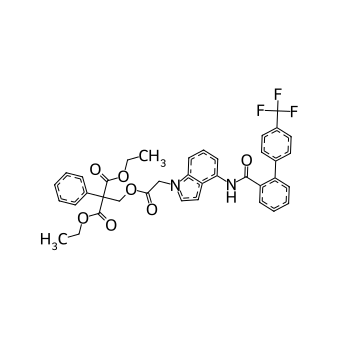 CCOC(=O)C(COC(=O)Cn1ccc2c(NC(=O)c3ccccc3-c3ccc(C(F)(F)F)cc3)cccc21)(C(=O)OCC)c1ccccc1